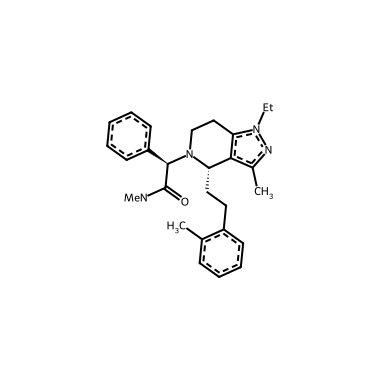 CCn1nc(C)c2c1CCN([C@@H](C(=O)NC)c1ccccc1)[C@H]2CCc1ccccc1C